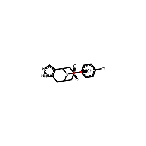 C#CC1CC2Cc3[nH]ncc3C(C1)N2S(=O)(=O)c1ccc(Cl)cc1